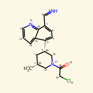 C[C@@H]1C[C@H](c2ccc(C=N)c3ncccc23)CN(C(=O)CCl)C1